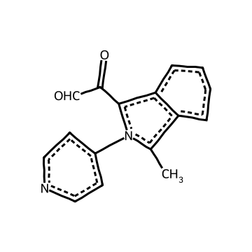 Cc1c2ccccc2c(C(=O)C=O)n1-c1ccncc1